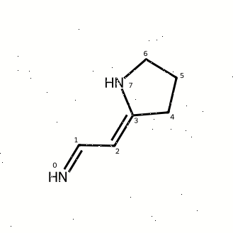 N=C/C=C1/CCCN1